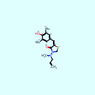 C=CCN(C)N1CSC(=Cc2cc(C(C)(C)C)c(O)c(C(C)(C)C)c2)C1=O